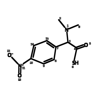 CN(C)C(C(=O)S)c1ccc([N+](=O)[O-])cc1